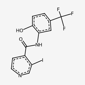 O=C(Nc1cc(C(F)(F)F)ccc1O)c1ccncc1I